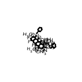 COc1c(F)c(F)c2c(c1OCc1ccccc1)C(=O)C1=C(O)[C@]3(O[Si](C)(C)C(C)(C)C)C(=O)c4c(OCc5ccccc5)noc4[C@@H](N(C)C)[C@@H]3C[C@@H]1C2